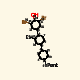 CCCCCc1ccc(-c2ccc(-c3cc(Br)c(O)c(Br)c3)c(CC)c2)cc1